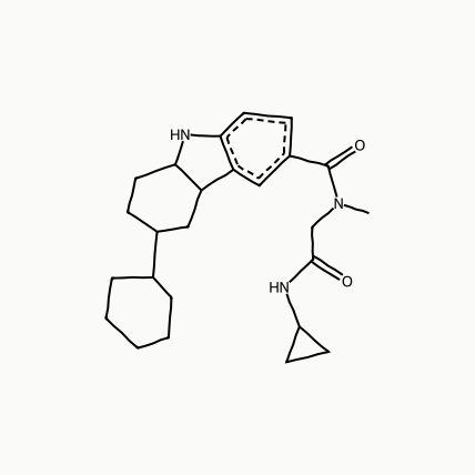 CN(CC(=O)NC1CC1)C(=O)c1ccc2c(c1)C1CC(C3CCCCC3)CCC1N2